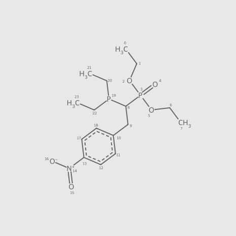 CCOP(=O)(OCC)C(Cc1ccc([N+](=O)[O-])cc1)P(CC)CC